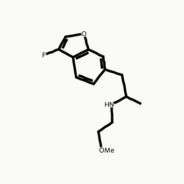 COCCNC(C)Cc1ccc2c(F)coc2c1